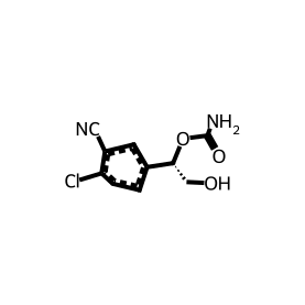 N#Cc1cc([C@@H](CO)OC(N)=O)ccc1Cl